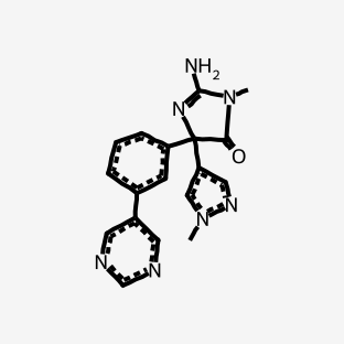 CN1C(=O)C(c2cccc(-c3cncnc3)c2)(c2cnn(C)c2)N=C1N